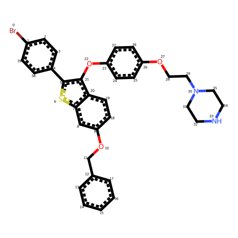 Brc1ccc(-c2sc3cc(OCc4ccccc4)ccc3c2Oc2ccc(OCCN3CCNCC3)cc2)cc1